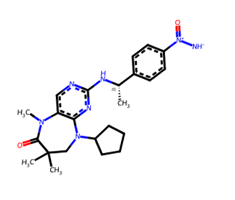 C[C@H](Nc1ncc2c(n1)N(C1CCCC1)CC(C)(C)C(=O)N2C)c1ccc([N+]([NH-])=O)cc1